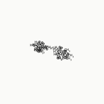 COCC1O[C@@H](O[C@H](C(OC)C(CN(CCCCCCCCCCN(C[C@@H](OC)[C@H](OC)[C@@H](O[C@@H]2OC(CCO)[C@@H](OC)[C@@H](OC)C2OC)C(CCO)OC)C(C)=O)C(C)=O)OC)[C@H](CO)COC)C(OC)C(OC)[C@H]1OC